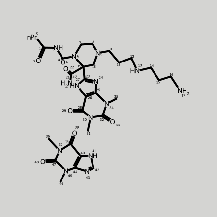 CCCC(=O)NC(=O)N1CCN(CCCNCCCN)CC1(C(N)=O)c1nc2c([nH]1)c(=O)n(C)c(=O)n2C.Cn1c(=O)c2[nH]cnc2n(C)c1=O